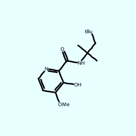 COc1ccnc(C(=O)NC(C)(C)CC(C)(C)C)c1O